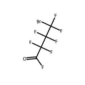 O=C(F)C(F)(F)C(F)(F)C(F)(F)Br